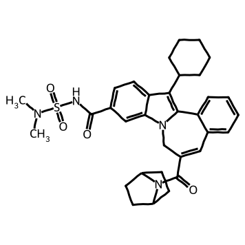 CN(C)S(=O)(=O)NC(=O)c1ccc2c(C3CCCCC3)c3n(c2c1)CC(C(=O)N1C2CCC1CC2)=Cc1ccccc1-3